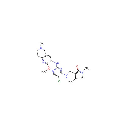 COc1nc2c(cc1Nc1ncc(Cl)c(NCc3c(C)ccn(C)c3=O)n1)CN(C)CC2